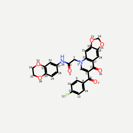 O=C(Cn1cc(C(=O)c2ccc(F)cc2)c(=O)c2cc3c(cc21)OCO3)Nc1ccc2c(c1)OCCO2